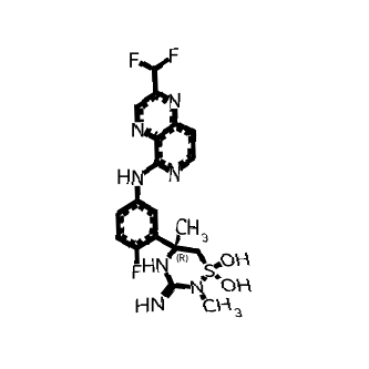 CN1C(=N)N[C@](C)(c2cc(Nc3nccc4nc(C(F)F)cnc34)ccc2F)CS1(O)O